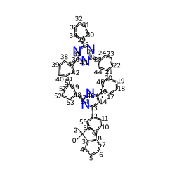 CC1(C)c2ccccc2-c2ccc(-c3cc(-c4cccc(-c5cccc(-c6nc(-c7ccccc7)nc(-c7ccccc7)n6)c5)c4)nc(-c4ccccc4)n3)cc21